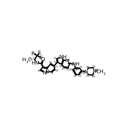 C[C@@H](NC(=O)c1cnn2ccc(-c3c[nH]c4nc(Nc5cccc(N6CCN(C)CC6)c5)ccc34)cc12)C(F)(F)F